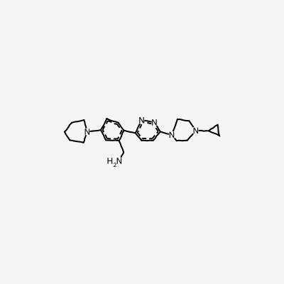 NCc1cc(N2CCCCC2)ccc1-c1ccc(N2CCN(C3CC3)CC2)nn1